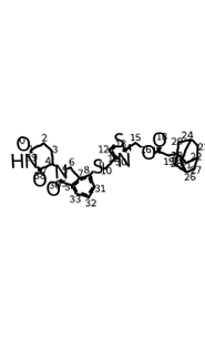 O=C1CCC(N2Cc3c(SCc4csc(COC(=O)CC56CC7CC(CC(C7)C5)C6)n4)cccc3C2=O)C(=O)N1